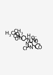 CC(C)(C)OC(=O)N1CCC(Nc2nc(Cl)nc(C3=CCOCC3)c2[N+](=O)[O-])CC1